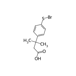 CC(C)(CC(=O)O)c1ccc(SBr)cc1